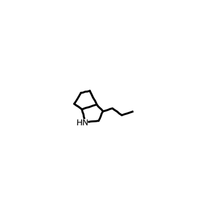 CCCC1CNC2CCCC12